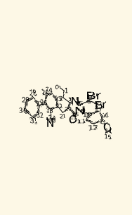 CCCc1nc(C(Br)Br)n(-c2ccc(OC)cc2)c(=O)c1Cc1cccc(-c2ccccc2)c1C#N